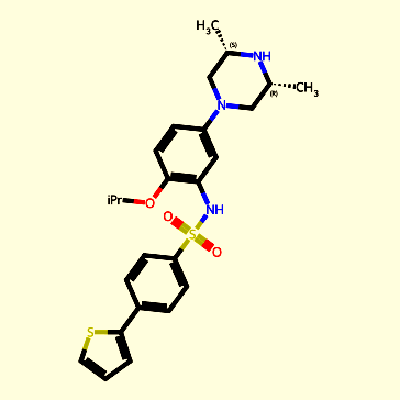 CC(C)Oc1ccc(N2C[C@@H](C)N[C@@H](C)C2)cc1NS(=O)(=O)c1ccc(-c2cccs2)cc1